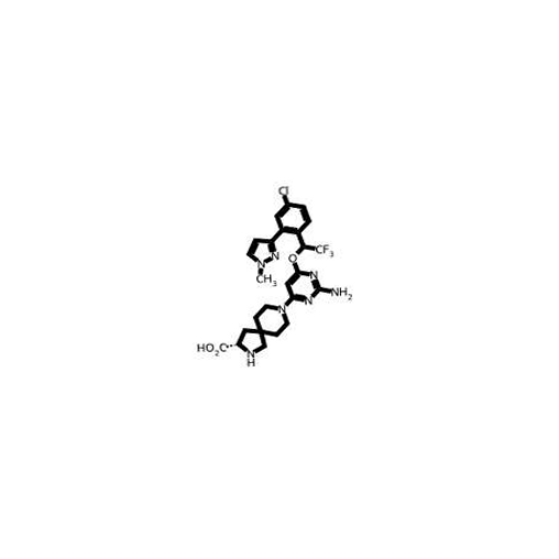 Cn1ccc(-c2cc(Cl)ccc2C(Oc2cc(N3CCC4(CC3)CN[C@H](C(=O)O)C4)nc(N)n2)C(F)(F)F)n1